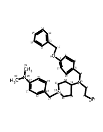 CC(C)CCN(Cc1ccc(OCc2ccccc2)cc1)C1CCN(Cc2ccc(N(C)C)cc2)CC1